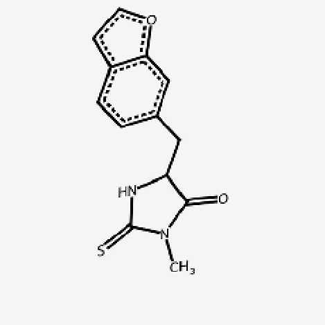 CN1C(=O)C(Cc2ccc3ccoc3c2)NC1=S